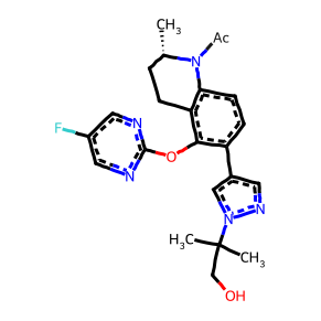 CC(=O)N1c2ccc(-c3cnn(C(C)(C)CO)c3)c(Oc3ncc(F)cn3)c2CC[C@@H]1C